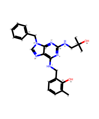 Cc1cccc(CNc2nc(NCC(C)(C)O)nc3c2ncn3Cc2ccccc2)c1O